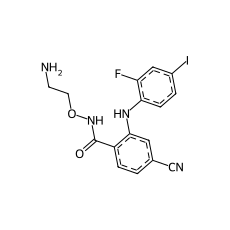 N#Cc1ccc(C(=O)NOCCN)c(Nc2ccc(I)cc2F)c1